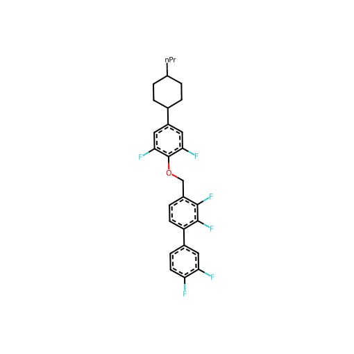 CCCC1CCC(c2cc(F)c(OCc3ccc(-c4ccc(F)c(F)c4)c(F)c3F)c(F)c2)CC1